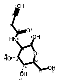 C#CCC(=O)NC1C(O)OC(CO)[C@H](O)[C@@H]1O